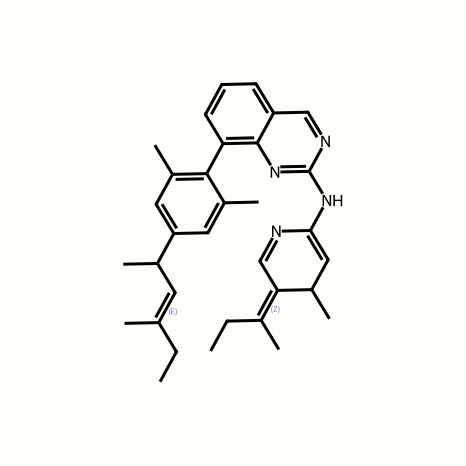 CC/C(C)=C1\C=NC(Nc2ncc3cccc(-c4c(C)cc(C(C)/C=C(\C)CC)cc4C)c3n2)=CC1C